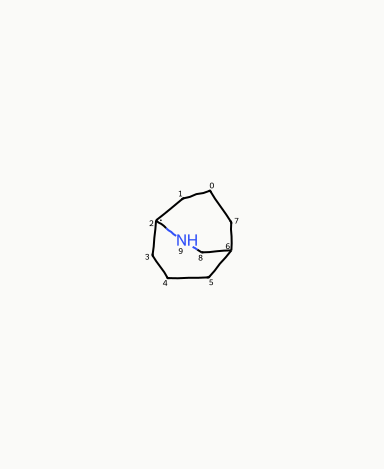 C1C[C]2CCCC(C1)CN2